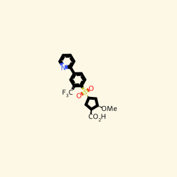 CO[C@H]1C[C@@H](S(=O)(=O)c2ccc(-c3ccccn3)cc2C(F)(F)F)C[C@@H]1C(=O)O